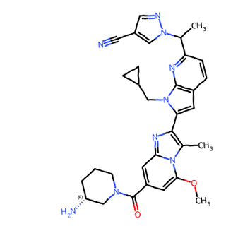 COc1cc(C(=O)N2CCC[C@@H](N)C2)cc2nc(-c3cc4ccc(C(C)n5cc(C#N)cn5)nc4n3CC3CC3)c(C)n12